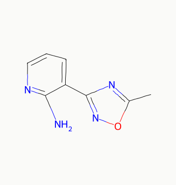 Cc1nc(-c2cccnc2N)no1